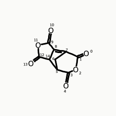 O=C1OC(=O)C2CC1=C1C(=O)OC(=O)C12